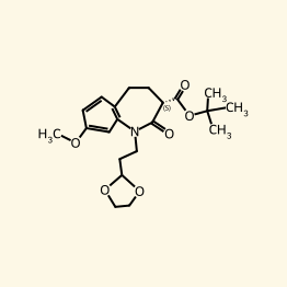 COc1ccc2c(c1)N(CCC1OCCO1)C(=O)[C@@H](C(=O)OC(C)(C)C)CC2